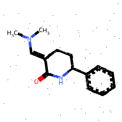 CN(C)/C=C1\CCC(c2ccccc2)NC1=O